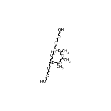 COC(C)COC(C)COC(C)CO.OCCOCCOCCOCCOCCOCCOCCOCCO